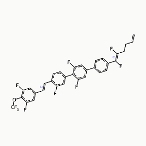 C=CCC/C(F)=C(\F)c1ccc(-c2cc(F)c(-c3ccc(/C=C/c4cc(F)c(OC(F)(F)F)c(F)c4)c(F)c3)c(F)c2)cc1